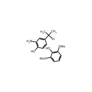 CCC(C)(C)c1ccc(O)c(N)c1.COc1cccc(OC)c1O